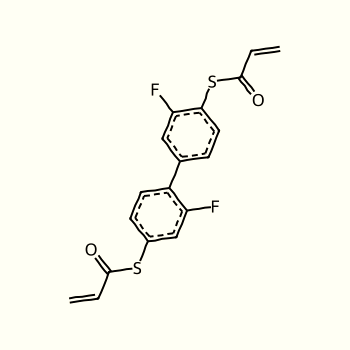 C=CC(=O)Sc1ccc(-c2ccc(SC(=O)C=C)c(F)c2)c(F)c1